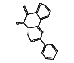 O=C1C(=O)c2ccc(-c3ccccc3)nc2-c2ccccc21